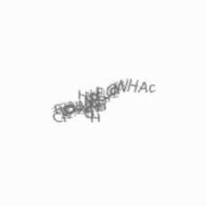 CC(=O)NC1COC(CCOc2c(F)ccc3nc(C(=O)NCc4ccc(F)c(Cl)c4)[nH]c(=O)c23)C1